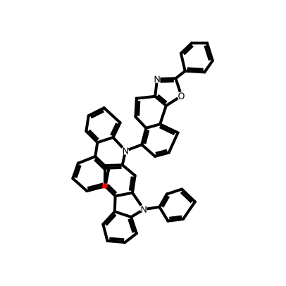 c1ccc(-c2nc3ccc4c(N(c5ccc6c7ccccc7n(-c7ccccc7)c6c5)c5ccccc5-c5ccccc5)cccc4c3o2)cc1